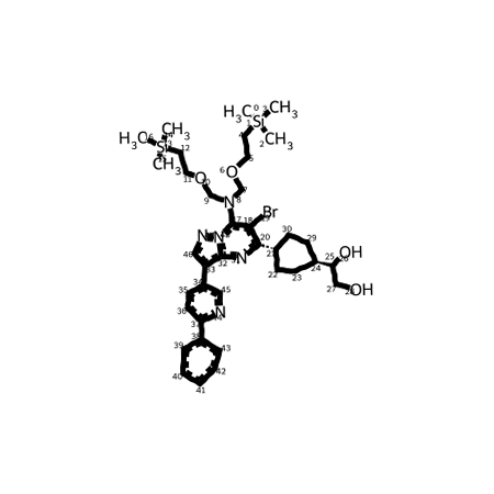 C[Si](C)(C)CCOCN(COCC[Si](C)(C)C)c1c(Br)c([C@H]2CC[C@H](C(O)CO)CC2)nc2c(-c3ccc(-c4ccccc4)nc3)cnn12